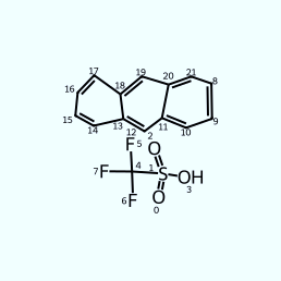 O=S(=O)(O)C(F)(F)F.c1ccc2cc3ccccc3cc2c1